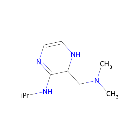 CC(C)NC1=NC=CNC1CN(C)C